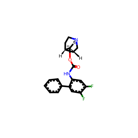 O=C(Nc1cc(F)c(F)cc1-c1ccccc1)O[C@H]1C[N@]2CC[C@H]1CC2